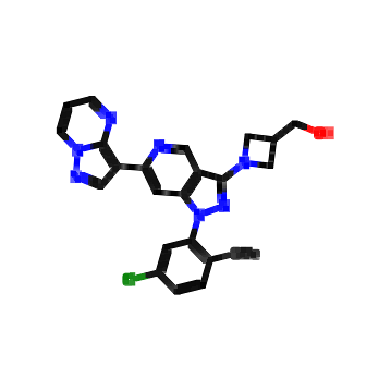 COc1ccc(Cl)cc1-n1nc(N2CC(CO)C2)c2cnc(-c3cnn4cccnc34)cc21